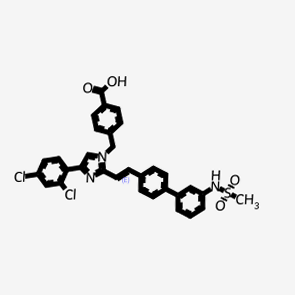 CS(=O)(=O)Nc1cccc(-c2ccc(/C=C/c3nc(-c4ccc(Cl)cc4Cl)cn3Cc3ccc(C(=O)O)cc3)cc2)c1